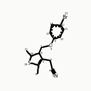 CC1=C(CC#N)C(COc2ccc(Br)cc2)C(C)S1